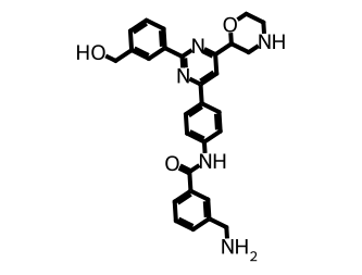 NCc1cccc(C(=O)Nc2ccc(-c3cc(C4CNCCO4)nc(-c4cccc(CO)c4)n3)cc2)c1